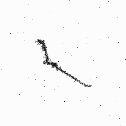 COCCOCCOCCOCCOCCOCCOCCOCCOCCOCCOCCOCCC(=O)NCCC[C@H](C(=O)NCC(=O)NCC(=O)N[C@@H](Cc1ccccc1)C(=O)NCC(=O)NCc1ccc(COc2ccc(NC(=O)NCc3ccc4c(c3)CN(C3CCC(=O)NC3=O)C4=O)cc2)cc1)N1C(=O)C=CC1=O